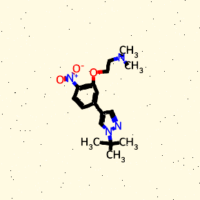 CN(C)CCOc1cc(-c2cnn(C(C)(C)C)c2)ccc1[N+](=O)[O-]